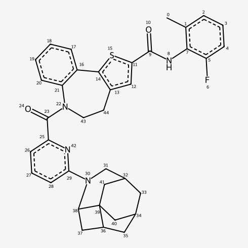 Cc1cccc(F)c1NC(=O)c1cc2c(s1)-c1ccccc1N(C(=O)c1cccc(N3CC4CC5CC6CC3C6(C5)C4)n1)CC2